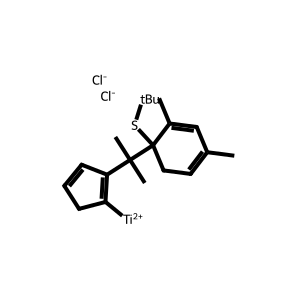 CC1=CCC(SC(C)(C)C)(C(C)(C)C2=[C]([Ti+2])CC=C2)C(C)=C1.[Cl-].[Cl-]